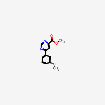 COC(=O)c1cc(-c2cccc(OC)c2)ncn1